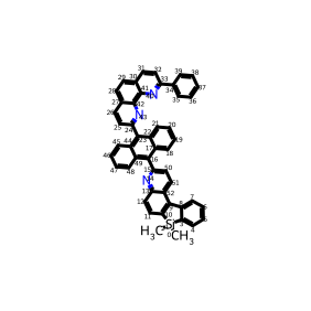 C[Si]1(C)c2ccccc2-c2c1ccc1nc(-c3c4ccccc4c(-c4ccc5ccc6ccc(-c7ccccc7)nc6c5n4)c4ccccc34)ccc21